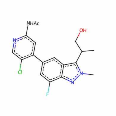 CC(=O)Nc1cc(-c2cc(F)c3nn(C)c(C(C)CO)c3c2)c(Cl)cn1